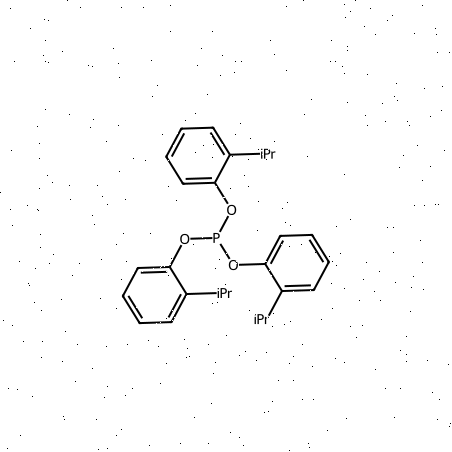 CC(C)c1ccccc1OP(Oc1ccccc1C(C)C)Oc1ccccc1C(C)C